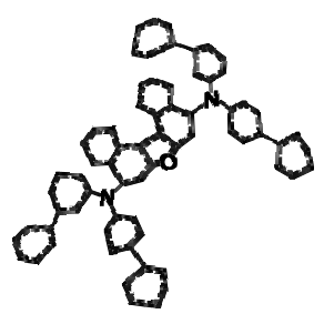 c1ccc(-c2ccc(N(c3cccc(-c4ccccc4)c3)c3cc4oc5cc(N(c6ccc(-c7ccccc7)cc6)c6cccc(-c7ccccc7)c6)c6ccccc6c5c4c4ccccc34)cc2)cc1